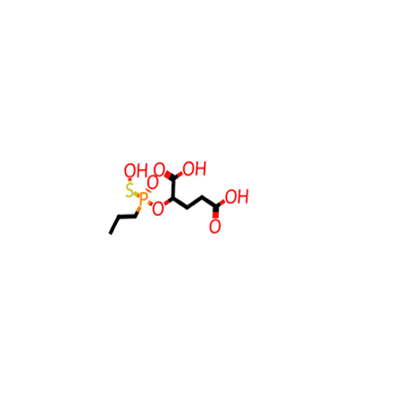 CCCP(=O)(OC(CCC(=O)O)C(=O)O)SO